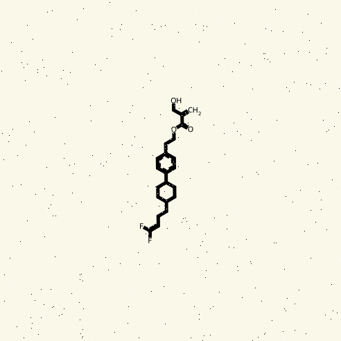 C=C(CO)C(=O)OCCc1ccc(C2CCC(CCC=C(F)F)CC2)cc1